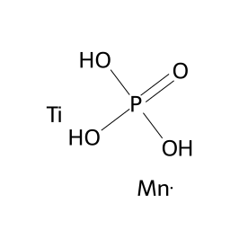 O=P(O)(O)O.[Mn].[Ti]